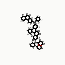 c1ccc(-c2ccccc2N(c2ccccc2)c2ccc3c(ccc4c5ccc(N(c6ccccc6)c6ccc7c(ccc8ccccc87)c6)cc5c5ccccc5c34)c2)cc1